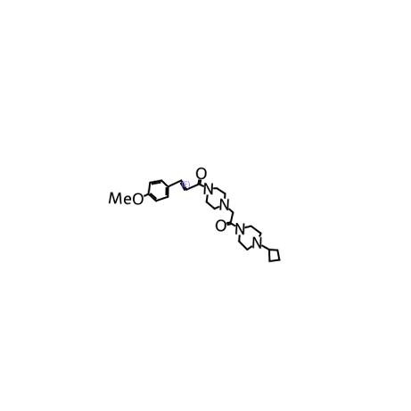 COc1ccc(/C=C/C(=O)N2CCN(CC(=O)N3CCN(C4CCC4)CC3)CC2)cc1